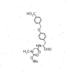 CN(CC(=O)N[C@H](C=O)Cc1ccc(OCc2ccc(C(=O)O)cc2)cc1)C(=O)OC(C)(C)C